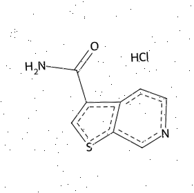 Cl.NC(=O)c1csc2cnccc12